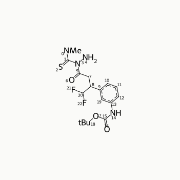 CNC(=S)N(N)C(=O)CC(c1cccc(NC(=O)OC(C)(C)C)c1)C(F)F